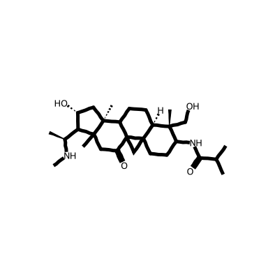 CN[C@@H](C)C1[C@H](O)C[C@@]2(C)C3CC[C@@H]4C5(CCC(NC(=O)C(C)C)[C@@]4(C)CO)CC35C(=O)CC12C